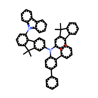 CC1(C)c2ccccc2-c2ccc(N(c3ccc4c(c3)C(C)(C)c3cccc(-n5c6ccccc6c6ccccc65)c3-4)c3ccc(-c4ccccc4)cc3-c3ccccc3)cc21